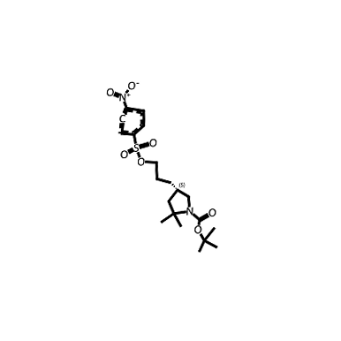 CC(C)(C)OC(=O)N1C[C@@H](CCCOS(=O)(=O)c2ccc([N+](=O)[O-])cc2)CC1(C)C